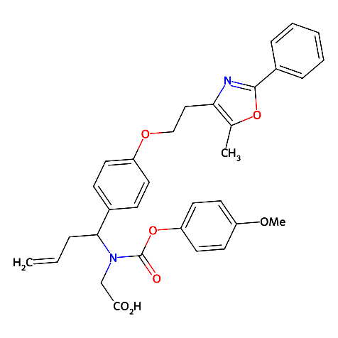 C=CCC(c1ccc(OCCc2nc(-c3ccccc3)oc2C)cc1)N(CC(=O)O)C(=O)Oc1ccc(OC)cc1